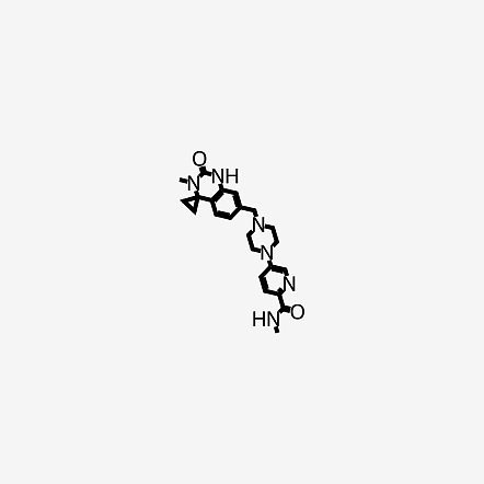 CNC(=O)c1ccc(N2CCN(Cc3ccc4c(c3)NC(=O)N(C)C43CC3)CC2)cn1